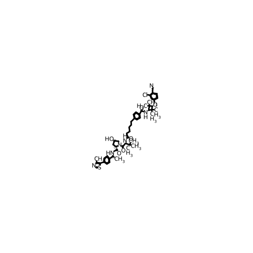 Cc1ncsc1-c1ccc([C@H](C)NC(=O)[C@@H]2C[C@@H](O)CN2C(=O)C(NC(=O)CCCCCc2ccc(C(=O)N[C@H]3C(C)(C)[C@H](Oc4ccc(C#N)c(Cl)c4)C3(C)C)cc2)C(C)(C)C)cc1